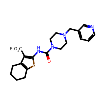 CCOC(=O)c1c(NC(=O)N2CCN(Cc3cccnc3)CC2)sc2c1CCCC2